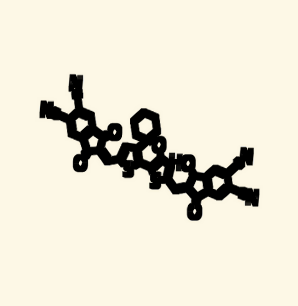 N#Cc1cc2c(cc1C#N)C(=O)C(=Cc1cc3c(s1)-c1sc(/C=C4/C(=O)c5cc(C#N)c(C#N)cc5C4O)cc1OC31CCCCC1)C2=O